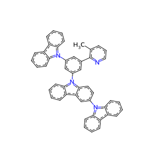 Cc1cccnc1-c1cc(-n2c3ccccc3c3ccccc32)cc(-n2c3ccccc3c3cc(-n4c5ccccc5c5ccccc54)ccc32)c1